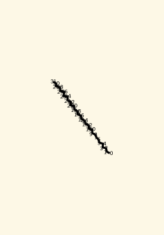 CCCCCCCCCCCCCCC[CH]CCCCCCCCCCCCCCCC